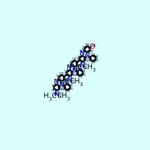 CN(C)c1ccc2nc3ccc(-c4cc5nc6ccc(-c7cc8nc9ccc(=O)cc-9n(-c9ccccc9)c8cc7N(C)C)cc6[n+](-c6ccccc6)c5cc4N(C)C)cc3[n+](-c3ccccc3)c2c1